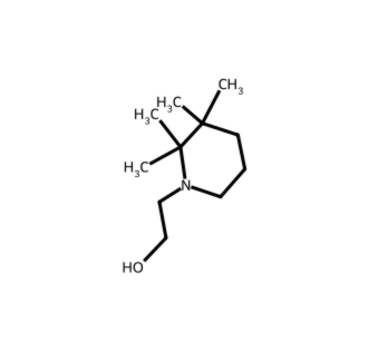 CC1(C)CCCN(CCO)C1(C)C